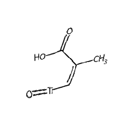 CC(=[CH][Ti]=[O])C(=O)O